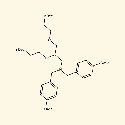 CCCCCCCCCCCCOCC(CN(Cc1ccc(OC)cc1)Cc1ccc(OC)cc1)OCCCCCCCCCCCC